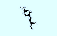 COC(=O)/C=C/c1cnc(N)nc1